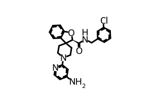 Nc1ccnc(N2CCC3(CC2)c2ccccc2O[C@H]3C(=O)NCc2cccc(Cl)c2)c1